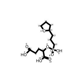 O=C(O)CCC(OP(=O)(O)CCCC1CCCO1)C(=O)O